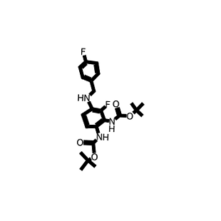 CC(C)(C)OC(=O)Nc1ccc(NCc2ccc(F)cc2)c(F)c1NC(=O)OC(C)(C)C